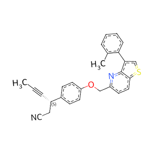 CC#C[C@@H](CC#N)c1ccc(OCc2ccc3scc(-c4ccccc4C)c3n2)cc1